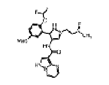 CSc1ccc(OC(F)F)c(C2NN(CCN(C)F)C=C2NC(=O)C2=C3N=CC=CN3NC2)c1